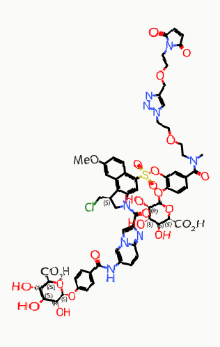 COc1ccc2c(S(=O)(=O)Oc3cc(C(=O)N(C)CCOCCn4cc(COCCN5C(=O)C=CC5=O)nn4)ccc3OC3O[C@H](C(=O)O)[C@@H](O)[C@H](O)[C@H]3O)cc3c(c2c1)[C@H](CCl)CN3C(=O)c1cn2cc(NC(=O)c3ccc(O[C@@H]4O[C@H](C(=O)O)[C@@H](O)[C@H](O)[C@H]4O)cc3)ccc2n1